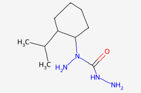 CC(C)C1CCCCC1N(N)C(=O)NN